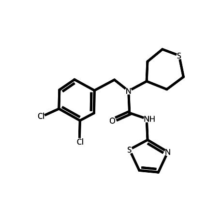 O=C(Nc1nccs1)N(Cc1ccc(Cl)c(Cl)c1)C1CCSCC1